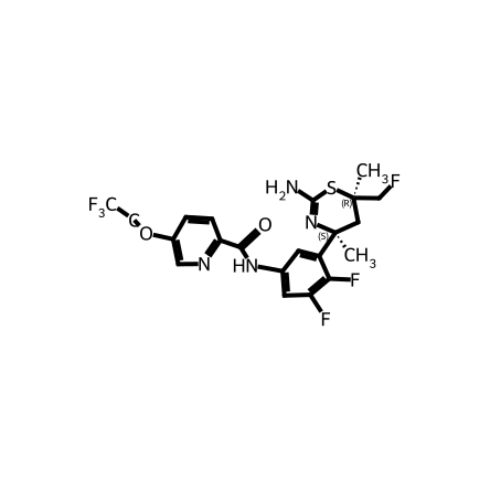 C[C@]1(CF)C[C@@](C)(c2cc(NC(=O)c3ccc(OCC(F)(F)F)cn3)cc(F)c2F)N=C(N)S1